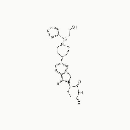 O=C1CCC(N2Cc3cc(C4CCN([C@@H](CCO)c5ccccc5)CC4)ccc3C2=O)C(=O)N1